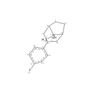 CCC[N+]1(C)C2CCC1CC(c1ccc(F)cc1)C2